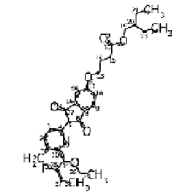 C=c1ccc(C2C(=O)c3ccc(OCCCC(=O)OCC(CC)CC)cc3C2=O)n/c1=C(OCC)/C(F)=C\C